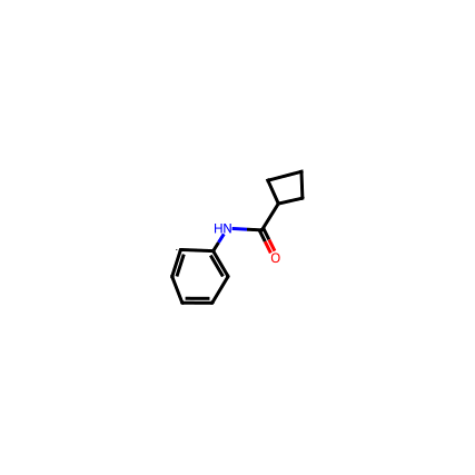 O=C(Nc1[c]cccc1)C1CCC1